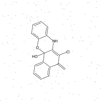 C=C1C(Cl)=C2Nc3ccccc3OC2(O)c2ccccc21